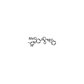 COc1cc(N2CCC(NCc3ccccc3C)C2=O)ccc1-n1cnc(C)c1